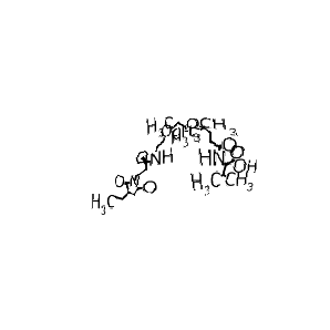 CCCC1CC(=O)N(CCC(=O)NCCOC(C)(C)CCOC(C)(C)CCC(=O)NC(C(=O)O)C(C)C)C1=O